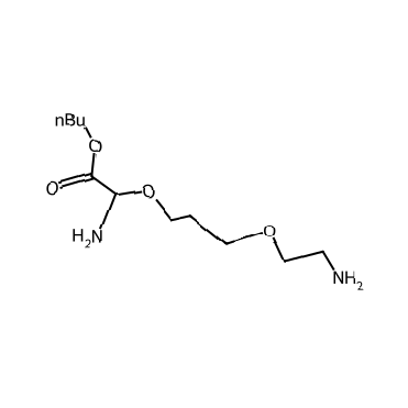 CCCCOC(=O)C(N)OCCCOCCN